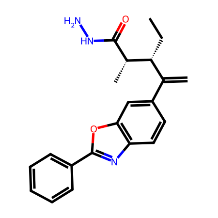 C=C(c1ccc2nc(-c3ccccc3)oc2c1)[C@@H](CC)[C@H](C)C(=O)NN